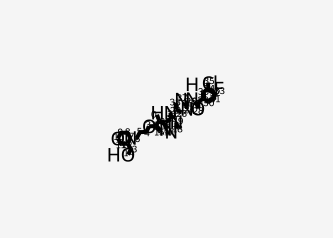 Cc1c(OCCCN2CCOCC2CO)cn2ncnc(Nc3cnc(NC(=O)c4ccc(F)c(Cl)c4)nc3)c12